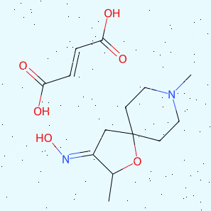 CC1OC2(CCN(C)CC2)CC1=NO.O=C(O)C=CC(=O)O